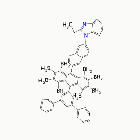 Bc1c(B)c(B)c2c(-c3ccc4cc(-n5c(CC)nc6ccccc65)ccc4c3)c3c(B)c(B)c(B)c(B)c3c(-c3cc(-c4ccccc4)cc(-c4ccccc4)c3)c2c1B